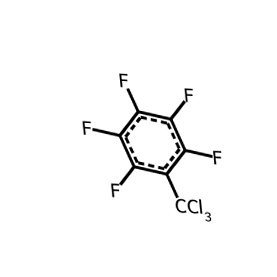 Fc1c(F)c(F)c(C(Cl)(Cl)Cl)c(F)c1F